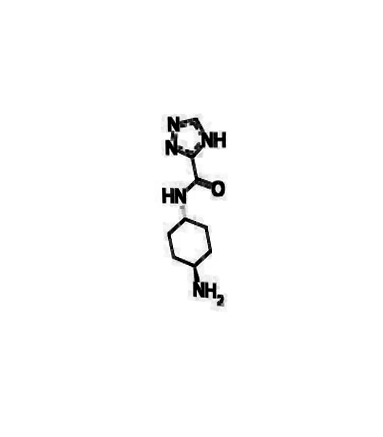 N[C@H]1CC[C@H](NC(=O)c2nnc[nH]2)CC1